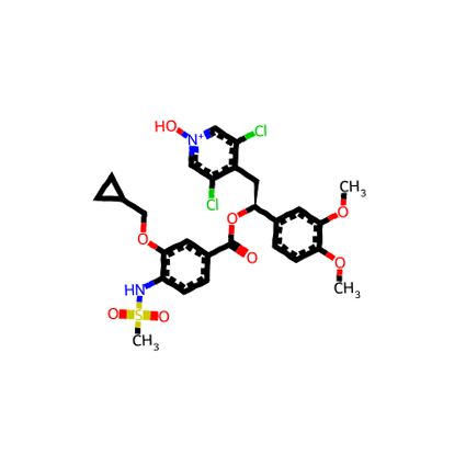 COc1ccc([C@H](Cc2c(Cl)c[n+](O)cc2Cl)OC(=O)c2ccc(NS(C)(=O)=O)c(OCC3CC3)c2)cc1OC